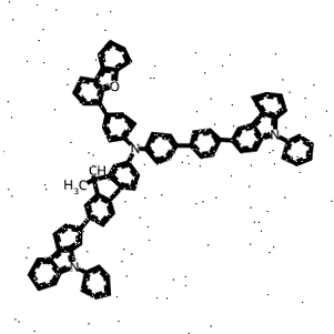 CC1(C)c2cc(-c3ccc4c5ccccc5n(-c5ccccc5)c4c3)ccc2-c2ccc(N(c3ccc(-c4ccc(-c5ccc6c(c5)c5ccccc5n6-c5ccccc5)cc4)cc3)c3ccc(-c4cccc5c4oc4ccccc45)cc3)cc21